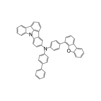 c1ccc(-c2ccc(N(c3ccc(-c4cccc5c4oc4ccccc45)cc3)c3ccc4c(c3)c3cccc5c6ccccc6n4c53)cc2)cc1